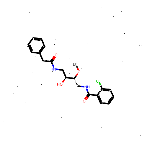 CCO[C@H](CNC(=O)c1ccccc1Cl)[C@@H](O)CNC(=O)Cc1ccccc1